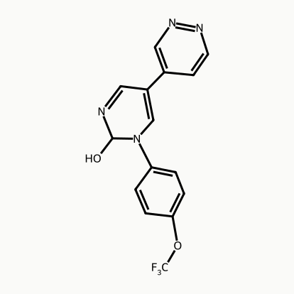 OC1N=CC(c2ccnnc2)=CN1c1ccc(OC(F)(F)F)cc1